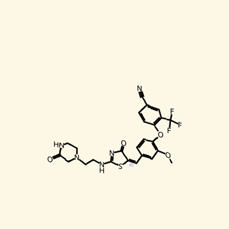 COc1cc(/C=C2/SC(NCCN3CCNC(=O)C3)=NC2=O)ccc1Oc1ccc(C#N)cc1C(F)(F)F